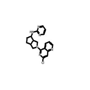 Clc1cc2ncccc2c(N2CC3CCC(Nc4ncccn4)C3C2)n1